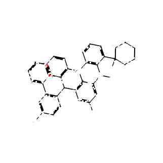 CCN1c2cc(C(C)(C)C)cc3c2B(c2ccc(C(C)(C)C)cc2C3c2ccc(C(C)(C)C)cc2-c2ccccc2)c2cccc(C3(C)CCCCC3)c21